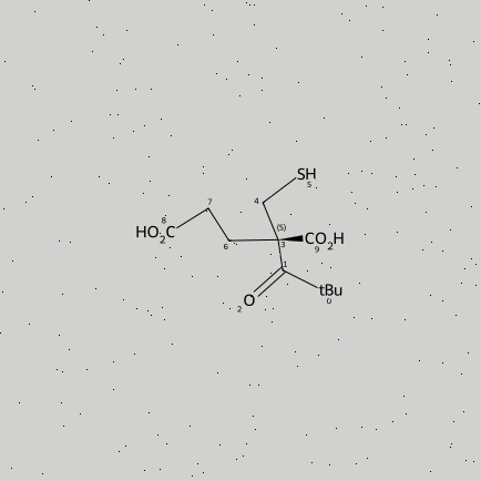 CC(C)(C)C(=O)[C@@](CS)(CCC(=O)O)C(=O)O